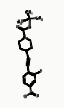 CC(C)(C)OC(=O)N1CCC(C#Cc2ccc([N+](=O)[O-])cc2F)CC1